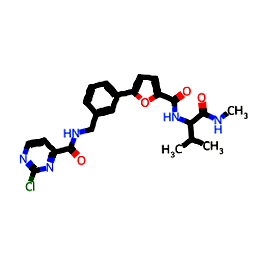 CNC(=O)C(NC(=O)c1ccc(-c2cccc(CNC(=O)c3ccnc(Cl)n3)c2)o1)C(C)C